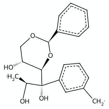 [CH2]c1cccc([C@@](O)([C@H]([CH2])O)[C@@H]2O[C@H](c3ccccc3)OC[C@H]2O)c1